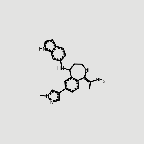 C/C(N)=C1/NCCC(Nc2ccc3cc[nH]c3c2)c2cc(-c3cnn(C)c3)ccc21